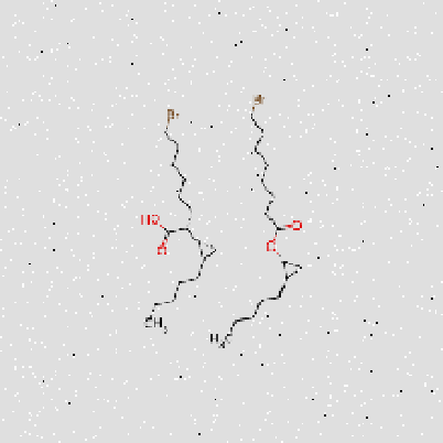 CCCCCC1C[C@H]1[C@@H](CCCCCCBr)C(=O)O.CCCCC[C@@H]1C[C@H]1OC(=O)CCCCCCCBr